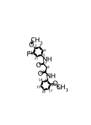 COc1ccc(NC(=O)CC(=O)Nc2ccccc2OC)cc1F